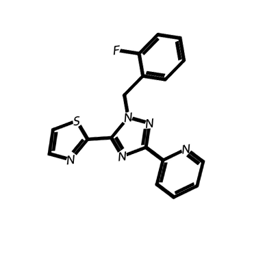 Fc1ccccc1Cn1nc(-c2ccccn2)nc1-c1nccs1